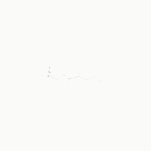 CCCCCCCC[Si](C)C